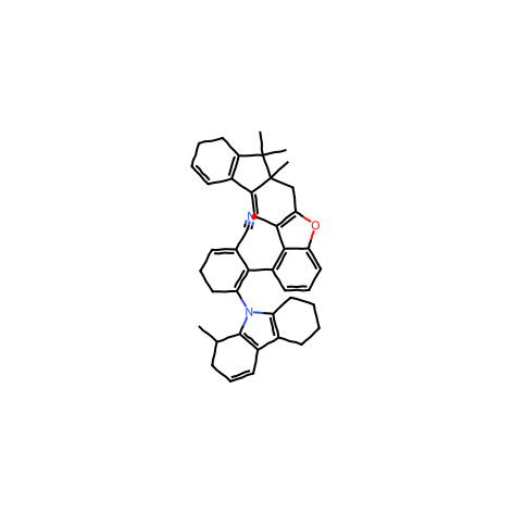 CC1CC=Cc2c3c(n(C4=C(c5cccc6oc7c(c56)C=C5C6=C(CCC=C6)C(C)(C)C5(C)C7)C(C#N)=CCC4)c21)CCCC3